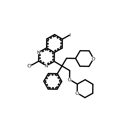 Clc1nc(C(COC2CCCCO2)(CC2CCOCC2)c2ccccc2)c2cc(I)ccc2n1